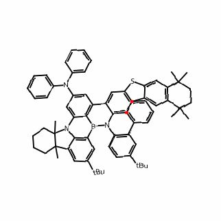 CC(C)(C)c1ccc(N2B3c4cc(C(C)(C)C)cc5c4N(c4cc(N(c6ccccc6)c6ccccc6)cc(c43)-c3cc4sc6cc7c(cc6c4cc32)C(C)(C)CCC7(C)C)C2(C)CCCCC52C)c(-c2ccccc2)c1